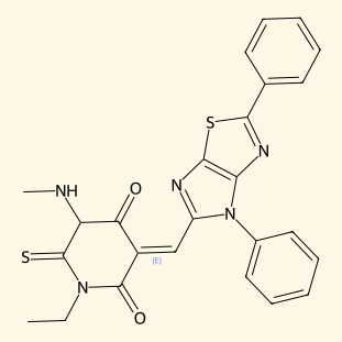 CCN1C(=O)/C(=C/c2nc3sc(-c4ccccc4)nc3n2-c2ccccc2)C(=O)C(NC)C1=S